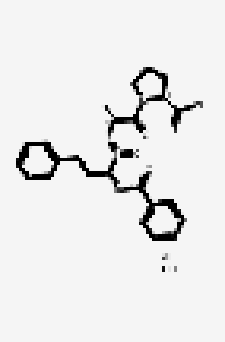 C[C@H](O[PH](=O)C(CCc1ccccc1)NC(=O)c1ccccc1)C(=O)N1CCC[C@H]1C(=O)O.[LiH].[LiH]